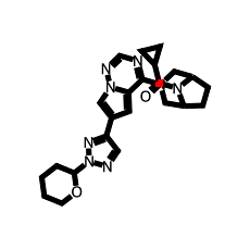 O=C(C1CC1)N1C2CCC1CN(c1ncnn3cc(-c4cnn(C5CCCCO5)n4)cc13)C2